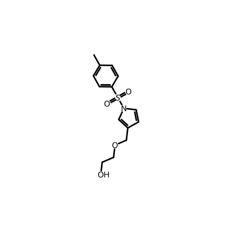 Cc1ccc(S(=O)(=O)n2ccc(COCCO)c2)cc1